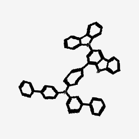 c1ccc(-c2ccc(N(c3ccc(-c4cc(-n5c6ccccc6c6ccccc65)cc5c4sc4ccccc45)cc3)c3cccc(-c4ccccc4)c3)cc2)cc1